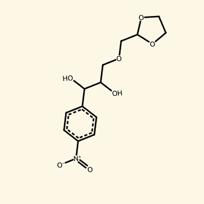 O=[N+]([O-])c1ccc(C(O)C(O)COCC2OCCO2)cc1